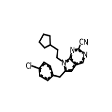 N#Cc1ncc2cc(Cc3ccc(Cl)cc3)n(CCC3CCCC3)c2n1